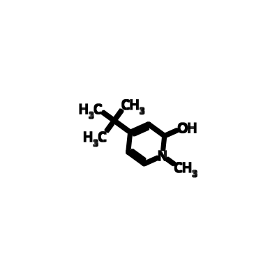 CN1C=CC(C(C)(C)C)=CC1O